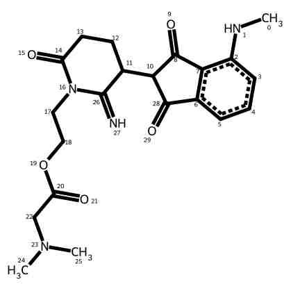 CNc1cccc2c1C(=O)C(C1CCC(=O)N(CCOC(=O)CN(C)C)C1=N)C2=O